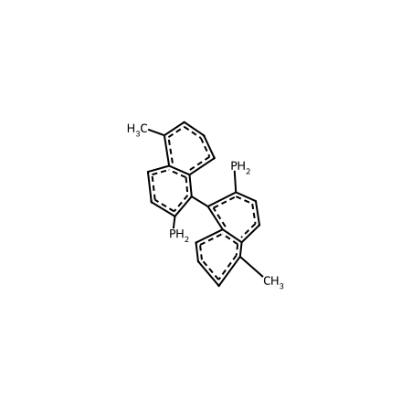 Cc1cccc2c(-c3c(P)ccc4c(C)cccc34)c(P)ccc12